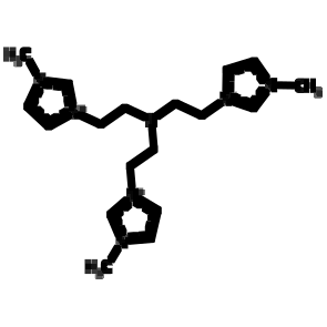 Cn1cc[n+](CCN(CC[n+]2ccn(C)c2)CC[n+]2ccn(C)c2)c1